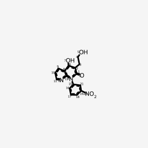 O=c1c(CCO)c(O)c2cccnc2n1-c1cccc([N+](=O)[O-])c1